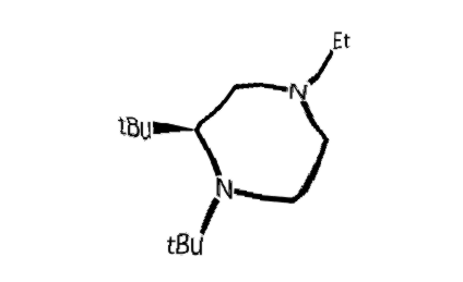 CCN1CCN(C(C)(C)C)[C@@H](C(C)(C)C)C1